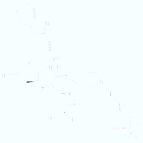 CC(C)C[C@H]1ON(C(=O)/C=C/c2nc3ccccc3s2)[C@H]2CN([C@@H]3CCN(CCCCOP(=O)(O)O)C3)C(=O)[C@H](CC(C)(C)C)N2C1=O